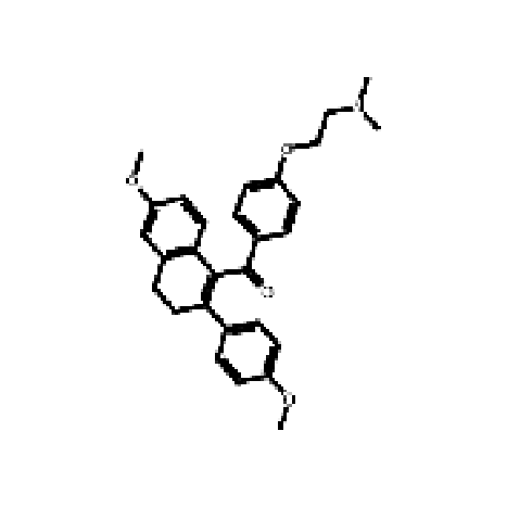 COc1ccc(C2=C(C(=O)c3ccc(OCCN(C)C)cc3)c3ccc(OC)cc3CC2)cc1